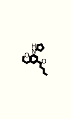 CCCCC(=O)c1cc2c(c(NC3CCCC3)c1)OCCC2